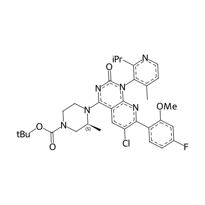 COc1cc(F)ccc1-c1nc2c(cc1Cl)c(N1CCN(C(=O)OC(C)(C)C)C[C@@H]1C)nc(=O)n2-c1c(C)ccnc1C(C)C